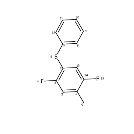 Cc1cc(F)c(Sc2ccccc2)cc1F